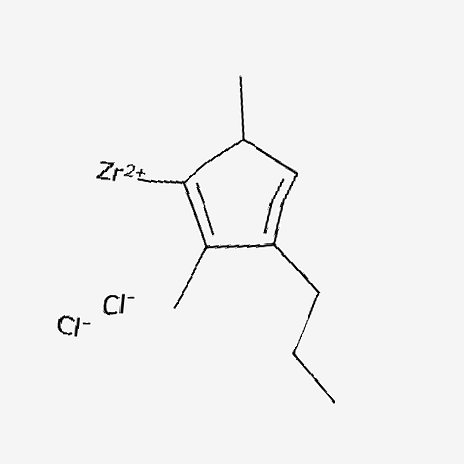 CCCC1=CC(C)[C]([Zr+2])=C1C.[Cl-].[Cl-]